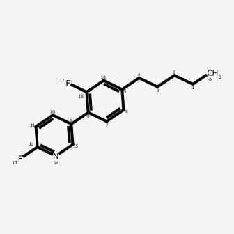 CCCCCc1ccc(-c2ccc(F)nc2)c(F)c1